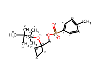 Cc1ccc(S(=O)(=O)OCC2(O[Si](C)(C)C(C)(C)C)CCC2)cc1